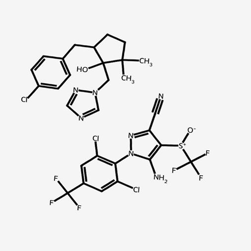 CC1(C)CCC(Cc2ccc(Cl)cc2)C1(O)Cn1cncn1.N#Cc1nn(-c2c(Cl)cc(C(F)(F)F)cc2Cl)c(N)c1[S+]([O-])C(F)(F)F